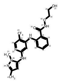 Cc1cc(Nc2cc(Nc3ccccc3C(=O)NOCCO)c(C(F)(F)F)cn2)n(C)n1